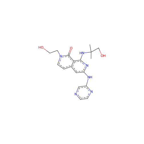 CC(C)(CO)Nc1nc(Nc2cnccn2)cc2ccn(CCO)c(=O)c12